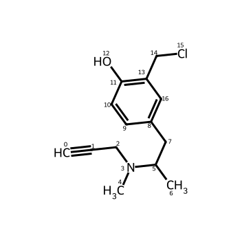 C#CCN(C)C(C)Cc1ccc(O)c(CCl)c1